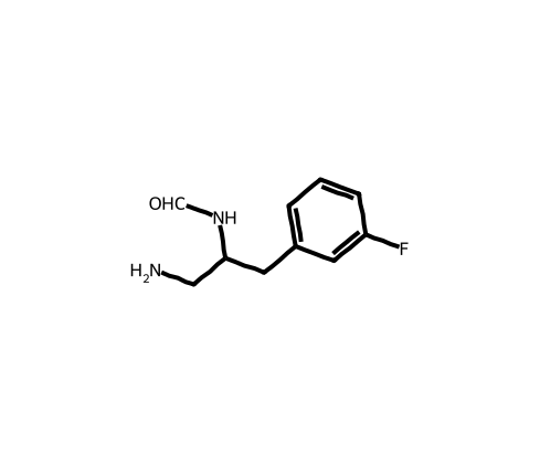 NCC(Cc1cccc(F)c1)NC=O